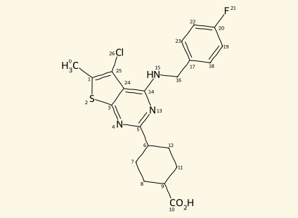 Cc1sc2nc(C3CCC(C(=O)O)CC3)nc(NCc3ccc(F)cc3)c2c1Cl